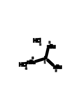 CCCCP(CCCC)CCCC.Cl.Cl